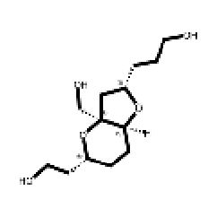 OCCC[C@H]1C[C@]2(CO)O[C@@H](CCO)CC[C@@H]2O1